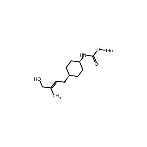 C/C(=C\C[C@H]1CC[C@@H](NC(=O)OC(C)(C)C)CC1)CO